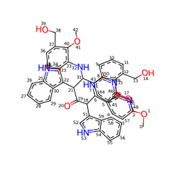 COc1ccc(C(Nc2cccc(CO)c2OC)C(C(=O)C(c2c[nH]c3ccccc23)C(Nc2cccc(CO)c2OC)c2ccc(OC)nc2)c2c[nH]c3ccccc23)cn1